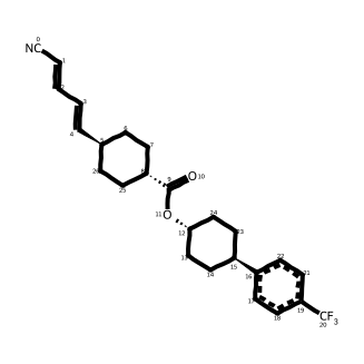 N#CC=CC=C[C@H]1CC[C@H](C(=O)O[C@H]2CC[C@H](c3ccc(C(F)(F)F)cc3)CC2)CC1